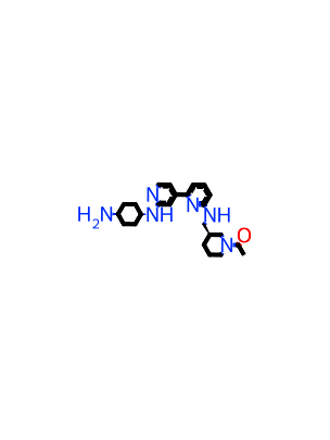 CC(=O)N1CCC[C@@H](CNc2cccc(-c3ccnc(N[C@H]4CC[C@H](N)CC4)c3)n2)C1